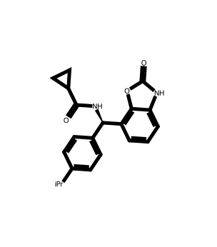 CC(C)c1ccc([C@@H](NC(=O)C2CC2)c2cccc3[nH]c(=O)oc23)cc1